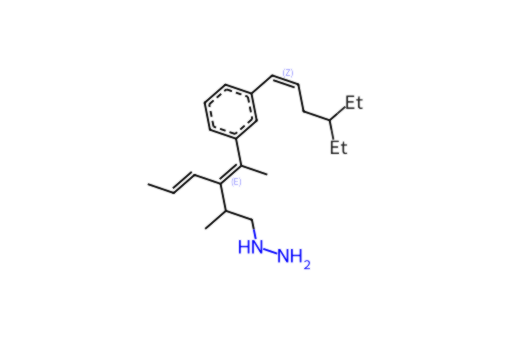 CC=C/C(=C(/C)c1cccc(/C=C\CC(CC)CC)c1)C(C)CNN